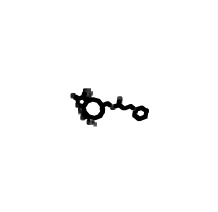 C=C1C(=O)O[C@H]2[C@H]1CC/C(COC(=O)CCN1CCCCC1)=C\CC[C@@]1(C)O[C@@H]21